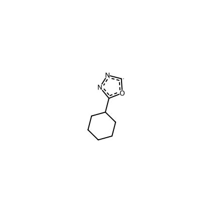 [c]1nnc(C2CCCCC2)o1